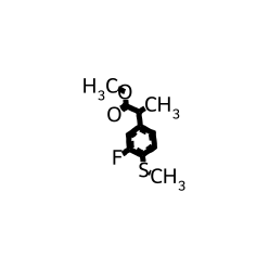 COC(=O)C(C)c1ccc(SC)c(F)c1